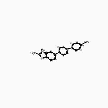 Cc1nc2ccc(-c3ccc(-c4ccc(C(C)C)cc4)cc3)cc2[nH]1